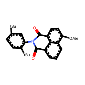 COc1ccc2c3c(cccc13)C(=O)N(c1cc(C(C)(C)C)ccc1C(C)(C)C)C2=O